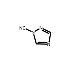 N#Cn1cn[c]n1